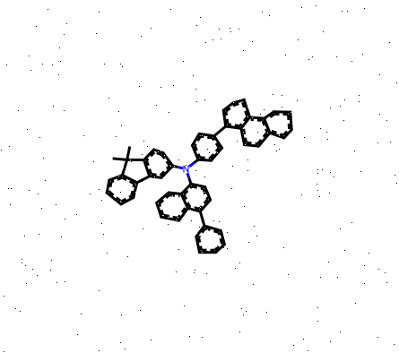 CC1(C)c2ccccc2-c2cc(N(c3ccc(-c4cccc5c4ccc4ccccc45)cc3)c3ccc(-c4ccccc4)c4ccccc34)ccc21